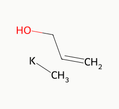 C=CCO.[CH3][K]